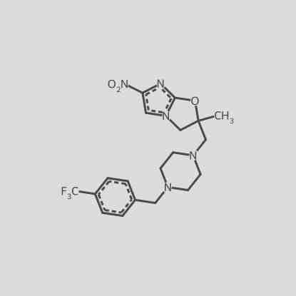 CC1(CN2CCN(Cc3ccc(C(F)(F)F)cc3)CC2)Cn2cc([N+](=O)[O-])nc2O1